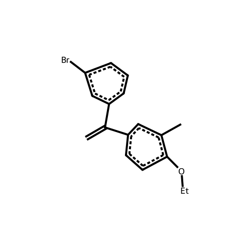 C=C(c1cccc(Br)c1)c1ccc(OCC)c(C)c1